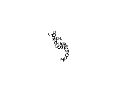 Br.CN(C(=O)c1ccc(Cl)c(Cl)c1)c1ccc(Oc2ccc3cc(C(=O)N4CCN(Cc5ccc(OCC(F)F)cc5)CC4)n(C)c3c2)nc1